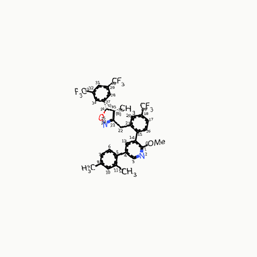 COc1ncc(-c2ccc(C)cc2C)cc1-c1ccc(C(F)(F)F)cc1CC1=NO[C@H](c2cc(C(F)(F)F)cc(C(F)(F)F)c2)[C@@H]1C